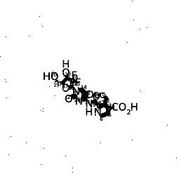 CCCCCCCCCCCc1c(C(=O)O)ccnc1C(=O)Nc1ccn([C@@H]2O[C@H](CO)[C@@H](O)C2(F)F)c(=O)n1